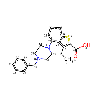 CCc1c(C(=O)O)sc2cccc(N3CCN(Cc4ccccc4)CC3)c12